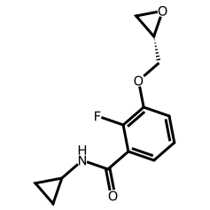 O=C(NC1CC1)c1cccc(OC[C@@H]2CO2)c1F